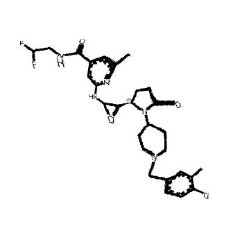 Cc1cc(C(=O)NCC(F)F)cc(NC2OC2[C@H]2CCC(=O)N2C2CCN(Cc3ccc(Cl)c(C)c3)CC2)n1